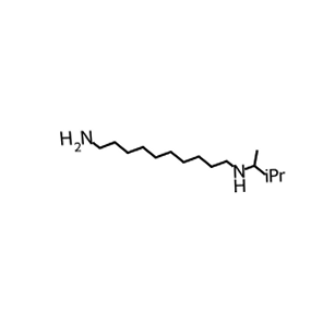 CC(C)C(C)NCCCCCCCCCCN